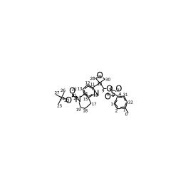 Cc1ccc(S(=O)(=O)OCC2(c3ccc4c(n3)CCCN4C(=O)OC(C)(C)C)COC2)cc1